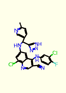 Cc1ccc(C(Nc2cc(Cl)c3ncc(C#N)c(Nc4ccc(F)c(Cl)c4)c3c2)c2c[nH]nn2)cn1